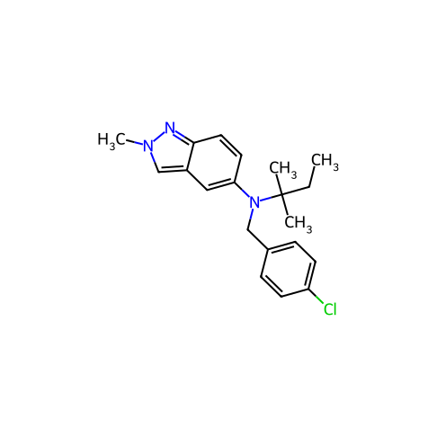 CCC(C)(C)N(Cc1ccc(Cl)cc1)c1ccc2nn(C)cc2c1